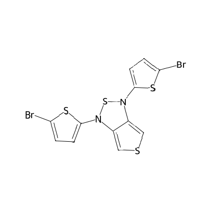 Brc1ccc(N2SN(c3ccc(Br)s3)c3cscc32)s1